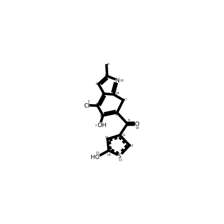 CC1=[C]C2=C(Cl)C(O)=C(C(=O)c3csc(O)c3)CC2=N1